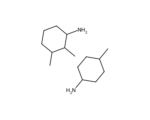 CC1CCC(N)CC1.CC1CCCC(N)C1C